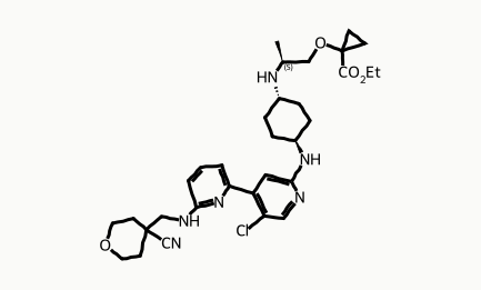 CCOC(=O)C1(OC[C@H](C)N[C@H]2CC[C@H](Nc3cc(-c4cccc(NCC5(C#N)CCOCC5)n4)c(Cl)cn3)CC2)CC1